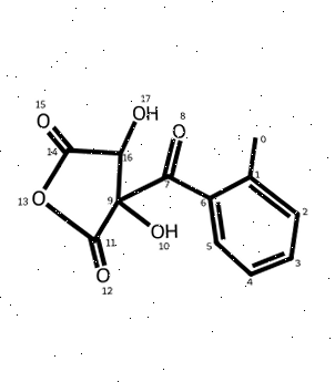 Cc1ccccc1C(=O)C1(O)C(=O)OC(=O)C1O